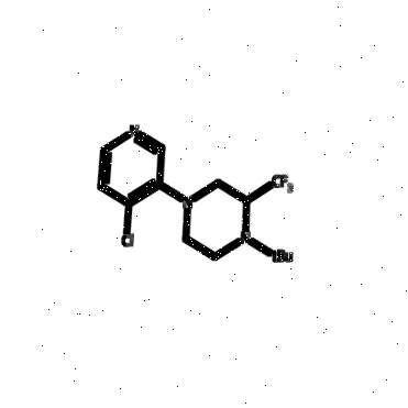 CC(C)(C)N1CCN(c2cnccc2Cl)CC1C(F)(F)F